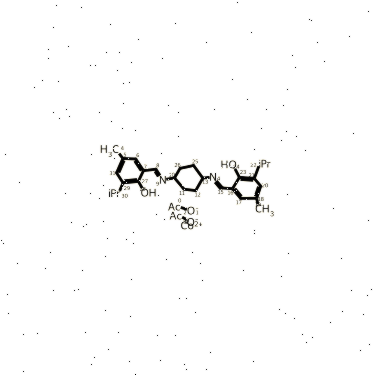 CC(=O)[O-].CC(=O)[O-].Cc1cc(C=NC2CCC(N=Cc3cc(C)cc(C(C)C)c3O)CC2)c(O)c(C(C)C)c1.[Co+2]